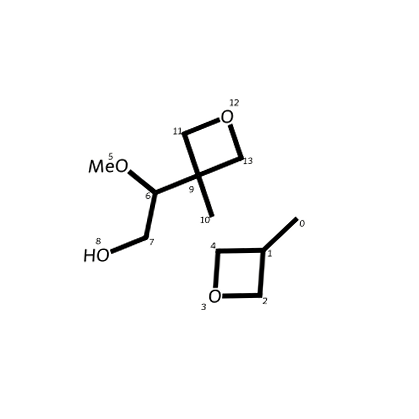 CC1COC1.COC(CO)C1(C)COC1